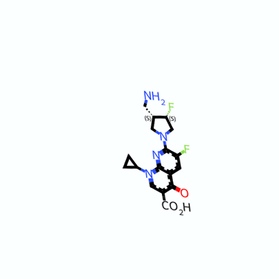 NC[C@H]1CN(c2nc3c(cc2F)c(=O)c(C(=O)O)cn3C2CC2)C[C@H]1F